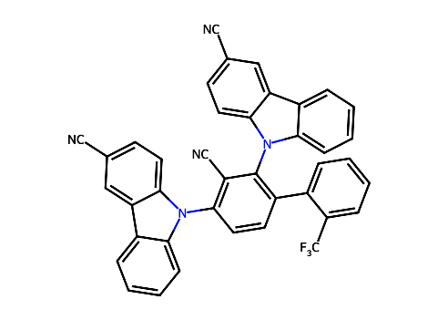 N#Cc1ccc2c(c1)c1ccccc1n2-c1ccc(-c2ccccc2C(F)(F)F)c(-n2c3ccccc3c3cc(C#N)ccc32)c1C#N